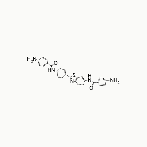 Nc1ccc(C(=O)Nc2ccc(-c3nc4ccc(NC(=O)c5ccc(N)cc5)cc4s3)cc2)cc1